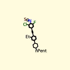 CCCCCC1CCC(c2ccc(C#Cc3cc(F)c(N=C=S)c(Cl)c3)c(CC)c2)CC1